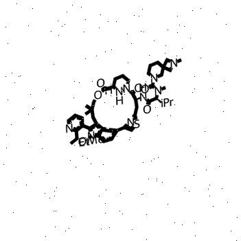 CCn1c(-c2cccnc2[C@H](C)OC)c2c3cc(ccc31)-c1csc(n1)C[C@H](NC(=O)[C@H](C(C)C)N(C)C(=O)N1CCCC3(CN(C)C3)C1)C(=O)N1CCC[C@H](N1)C(=O)OCC(C)(C)C2